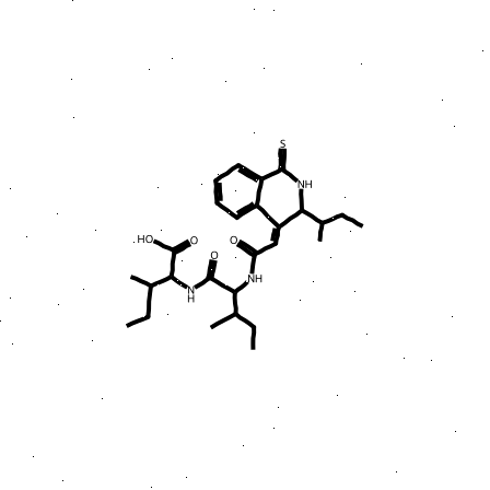 CCC(C)C(NC(=O)C(NC(=O)C=C1c2ccccc2C(=S)NC1C(C)CC)C(C)CC)C(=O)O